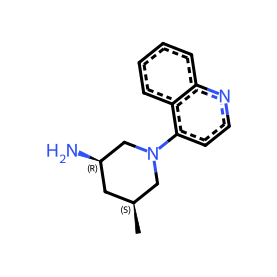 C[C@H]1C[C@@H](N)CN(c2ccnc3ccccc23)C1